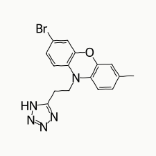 Cc1ccc2c(c1)Oc1cc(Br)ccc1N2CCc1nnn[nH]1